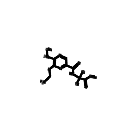 CCCCNc1ncc(C(=O)NC(CC)(CC)C(=O)OC)nc1OCC(F)(F)F